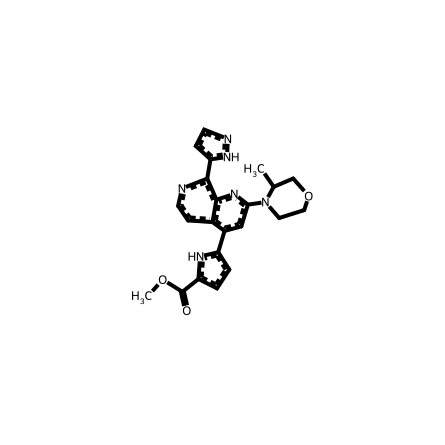 COC(=O)c1ccc(-c2cc(N3CCOCC3C)nc3c(-c4ccn[nH]4)nccc23)[nH]1